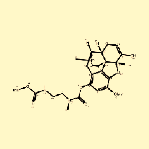 COc1cc(OC(=O)N(C)CCNC(=O)OC(C)(C)C)c2c3c1O[C@H]1C(O)=CC[C@H]4[C@@H](C2)N(C)CC[C@]314